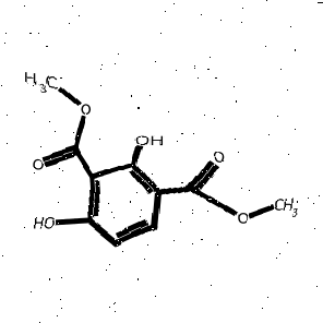 COC(=O)c1ccc(O)c(C(=O)OC)c1O